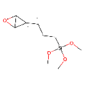 CO[Si](CCCC1C2OC12)(OC)OC